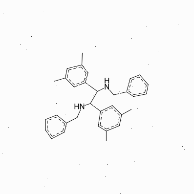 Cc1cc(C)cc(C(NCc2ccccc2)C(NCc2ccccc2)c2cc(C)cc(C)c2)c1